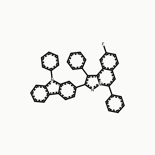 Fc1ccc2cc(-c3ccccc3)n3nc(-c4ccc5c6ccccc6n(-c6ccccc6)c5c4)c(-c4ccccc4)c3c2c1